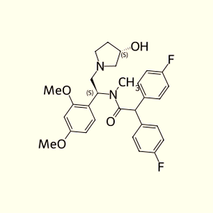 COc1ccc([C@@H](CN2CC[C@H](O)C2)N(C)C(=O)C(c2ccc(F)cc2)c2ccc(F)cc2)c(OC)c1